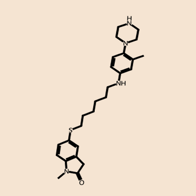 Cc1cc(NCCCCCCSc2ccc3c(c2)CC(=O)N3C)ccc1N1CCNCC1